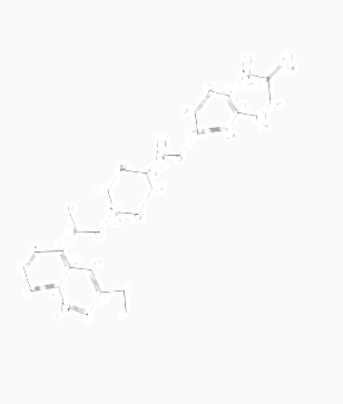 CCc1cnc2cccc(C(C)CN3CCC(NCc4ccc5c(c4)OCC(=O)N5)CC3)c2c1